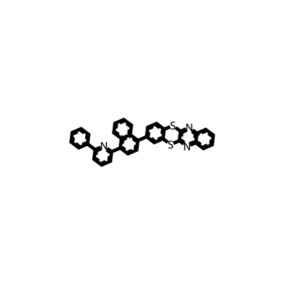 c1ccc(-c2cccc(-c3ccc(-c4ccc5c(c4)Sc4nc6ccccc6nc4S5)c4ccccc34)n2)cc1